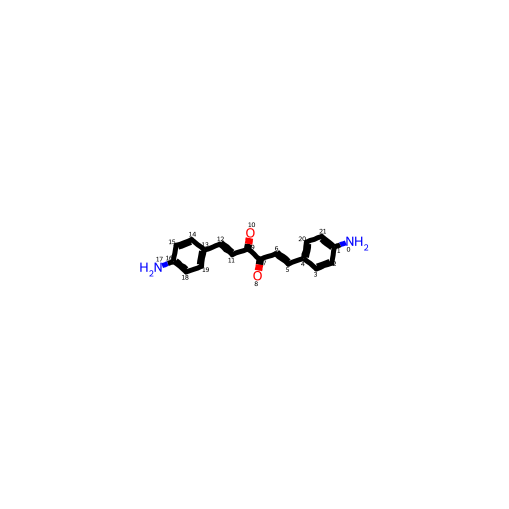 Nc1ccc(C=CC(=O)C(=O)C=Cc2ccc(N)cc2)cc1